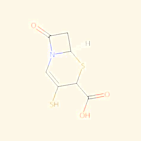 O=C(O)C1S[C@@H]2CC(=O)N2C=C1S